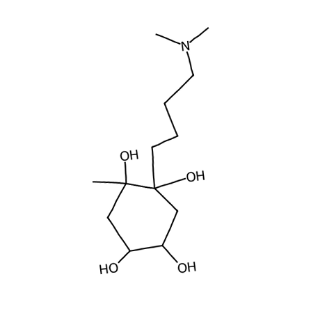 CN(C)CCCCC1(O)CC(O)C(O)CC1(C)O